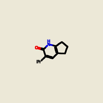 CC(C)c1cc2c([nH]c1=O)CCC2